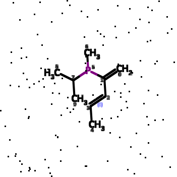 C=C(/C=C/C)P(C)C(C)C